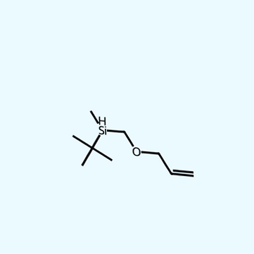 C=CCOC[SiH](C)C(C)(C)C